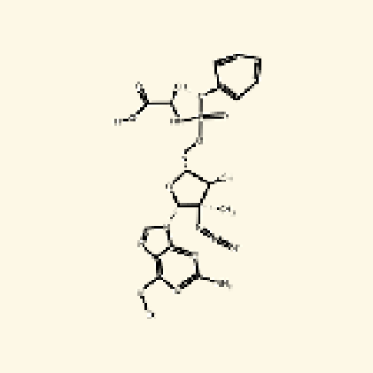 CCOc1nc(N)nc2c1ncn2[C@@H]1O[C@H](COP(=O)(N[C@H](C)C(=O)OC(C)C)Oc2ccccc2)[C@@H](O)[C@@]1(C)N=[N+]=[N-]